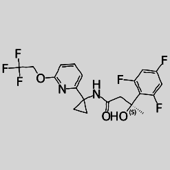 C[C@](O)(CC(=O)NC1(c2cccc(OCC(F)(F)F)n2)CC1)c1c(F)cc(F)cc1F